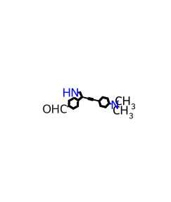 CN(C)c1ccc(C#Cc2c[nH]c3cc(C=O)ccc23)cc1